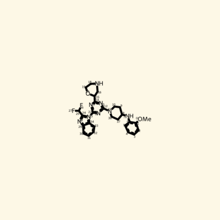 COc1ccccc1NC1CCN(c2nc(C3CNCCO3)nc(-n3c(C(F)F)nc4ccccc43)n2)CC1